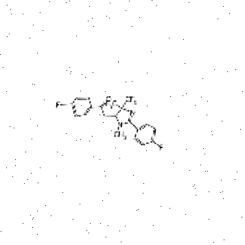 CN1C(c2ccc(F)cc2)=NC(C(F)(F)F)(C(F)(F)F)C1CC(=O)c1ccc(F)cc1